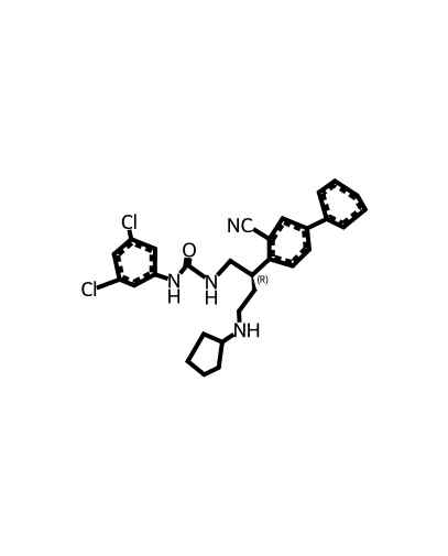 N#Cc1cc(-c2ccccc2)ccc1[C@@H](CCNC1CCCC1)CNC(=O)Nc1cc(Cl)cc(Cl)c1